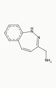 NCC1=NNc2ccccc2C=C1